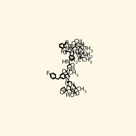 CC1COCCN1CC1CN(C(=O)O)C(C)CN1CC(=O)N1CC(C)(C(=O)NCC(=O)Nc2ccc3c(c2)C(C(=O)Nc2c(F)cccc2F)N(C(=O)C(NC(=O)C(C)N(C)C(=O)OC(C)(C)C)C(C)(C)C)C3)c2ccc(Cc3ccc(F)cc3)cc21